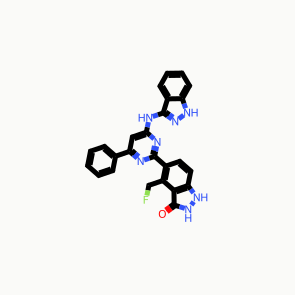 O=c1[nH][nH]c2ccc(-c3nc(Nc4n[nH]c5ccccc45)cc(-c4ccccc4)n3)c(CF)c12